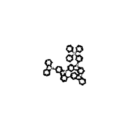 c1ccc([Si](c2ccccc2)(c2ccccc2)c2cccc(-n3c4ccccc4c4cc(-n5c6ccc(-n7c8ccccc8c8ccccc87)cc6c6cccc(-c7ccc8oc9ccccc9c8c7)c65)ccc43)c2)cc1